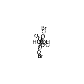 O[C@@H]([C@H](O)[C@@H](COCc1ccc(Br)cc1)OCc1ccccc1)[C@@H](COCc1ccc(Br)cc1)OCc1ccccc1